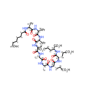 CCCCCCCCCCCCCCCC(=O)N[C@H](C(=O)N[C@H](C(=O)N[C@H](C(=O)N[C@@H](C)C(=O)N[C@@H](C)C(=O)N[C@@H](C)C(=O)N[C@@H](CCC(=O)O)C(=O)N[C@@H](CCC(=O)O)C(=O)N[C@@H](CCC(=O)O)C(=O)O)C(C)C)C(C)C)C(C)C